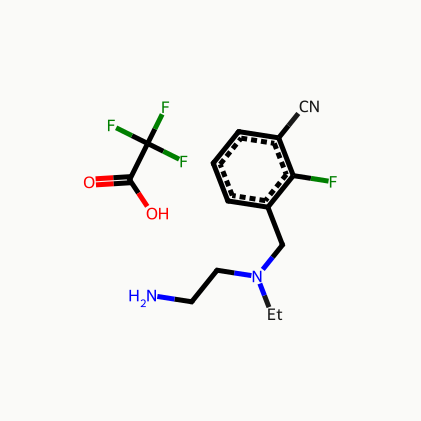 CCN(CCN)Cc1cccc(C#N)c1F.O=C(O)C(F)(F)F